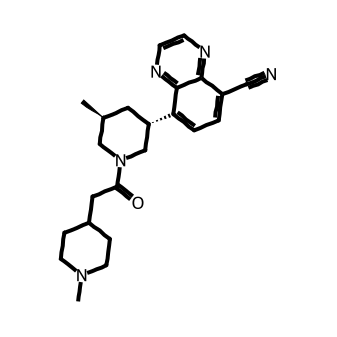 C[C@H]1C[C@H](c2ccc(C#N)c3nccnc23)CN(C(=O)CC2CCN(C)CC2)C1